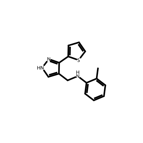 Cc1ccccc1NCc1c[nH]nc1-c1cccs1